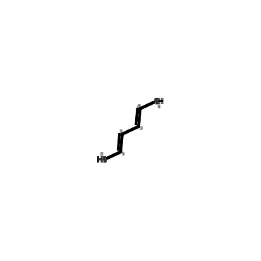 SC=CC=CS